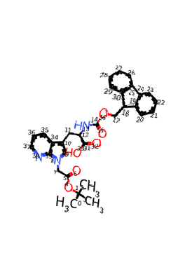 CC(C)(C)OC(=O)Cn1cc(CC(NC(=O)OCC2c3ccccc3-c3ccccc32)C(=O)O)c2cccnc21